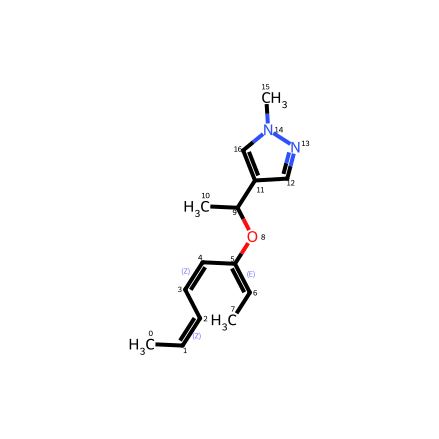 C\C=C/C=C\C(=C/C)OC(C)c1cnn(C)c1